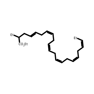 CC/C=C\C/C=C\C/C=C\C/C=C\C/C=C\C/C=C/CC(CC)C(=O)OCC